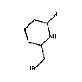 CC(C)CC1CCCC(I)N1